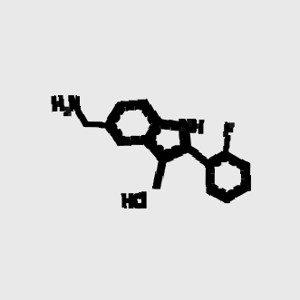 Cc1c(-c2ccccc2F)[nH]c2ccc(CN)cc12.Cl